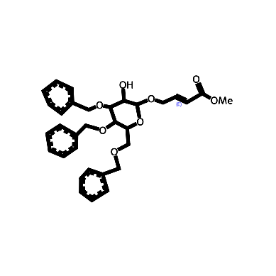 COC(=O)/C=C/COC1OC(COCc2ccccc2)C(OCc2ccccc2)C(OCc2ccccc2)C1O